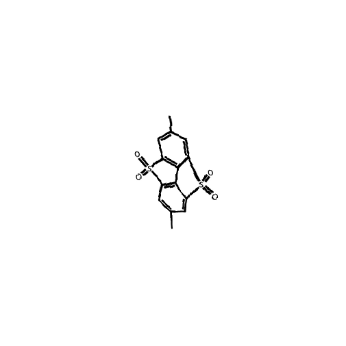 Cc1cc2c3c(c1)S(=O)(=O)c1cc(C)cc(c1-3)S2(=O)=O